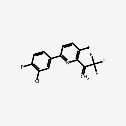 C=C(c1nc(-c2ccc(F)c(Cl)c2)ccc1F)C(F)(F)F